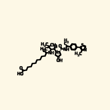 Cc1ncsc1-c1ccc([C@H](C)NC(=O)[C@@H]2C[C@@H](O)CN2C(=O)C(NC(=O)CCCCCCCCCC(=O)O)C(C)(C)C)cc1